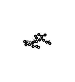 CC1(C)c2ccccc2-c2cccc(-c3ccc(N(c4cccc(-c5ccc6ccccc6c5)c4)c4ccc5sc6cc(-c7ccc(N(c8ccc(-c9ccc%10c(c9)oc9ccccc9%10)cc8)c8cc(-c9ccccc9)cc(-c9ccccc9)c8)cc7-c7ccc8ccccc8c7)ccc6c5c4)cc3)c21